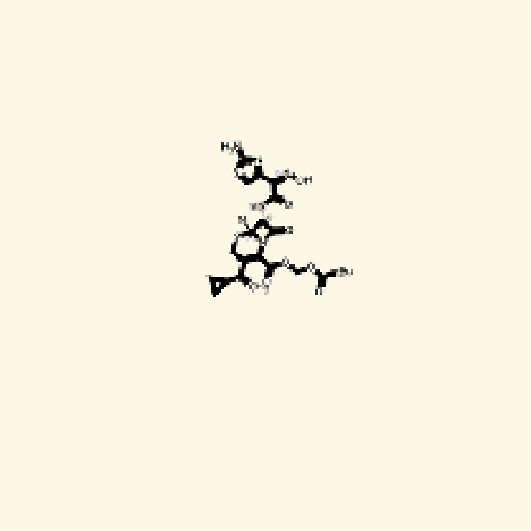 C=C(C1=C(C(=O)OCOC(=O)C(C)(C)C)N2C(=O)[C@@H](NC(=O)/C(=N\O)c3csc(N)n3)[C@@H]2SC1)C1CC1